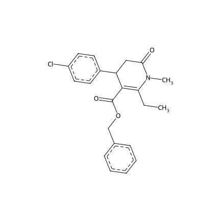 CCC1=C(C(=O)OCc2ccccc2)C(c2ccc(Cl)cc2)CC(=O)N1C